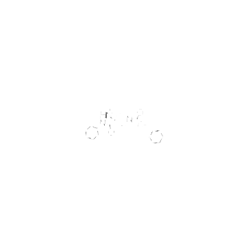 CN(C)C1(C(=O)Nc2ccccc2)CCN(C(=O)OCc2ccccc2)CC1